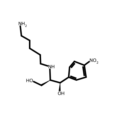 NCCCCCN[C@H](CO)[C@H](O)c1ccc([N+](=O)[O-])cc1